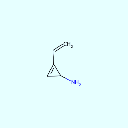 C=CC1=CC1N